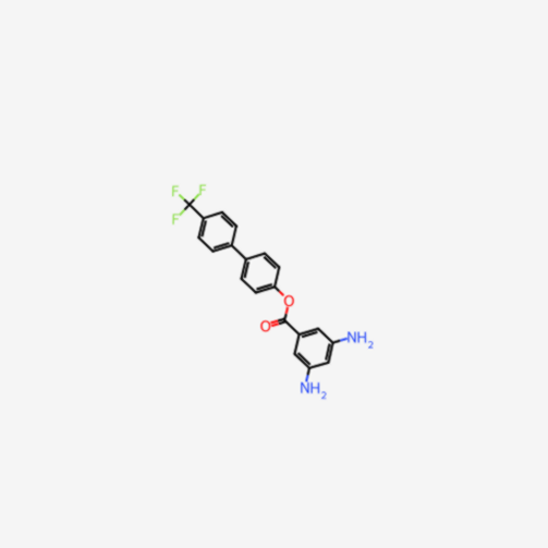 Nc1cc(N)cc(C(=O)Oc2ccc(-c3ccc(C(F)(F)F)cc3)cc2)c1